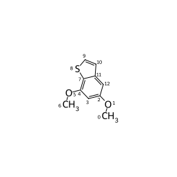 COc1cc(OC)c2sccc2c1